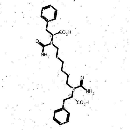 NC(=O)N(CCCCCCN(C(N)=O)[C@@H](Cc1ccccc1)C(=O)O)[C@@H](Cc1ccccc1)C(=O)O